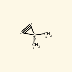 C[Si]1(C)C#C1